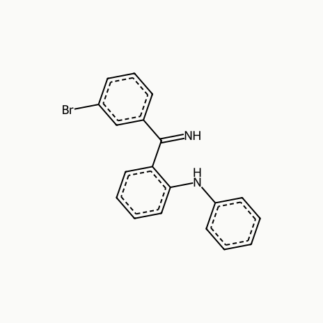 N=C(c1cccc(Br)c1)c1ccccc1Nc1ccccc1